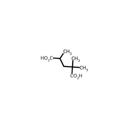 CC(CC(C)(C)C(=O)O)C(=O)O